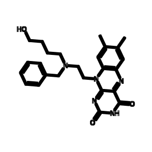 Cc1cc2nc3c(=O)[nH]c(=O)nc-3n(CCN(CCCCO)Cc3ccccc3)c2cc1C